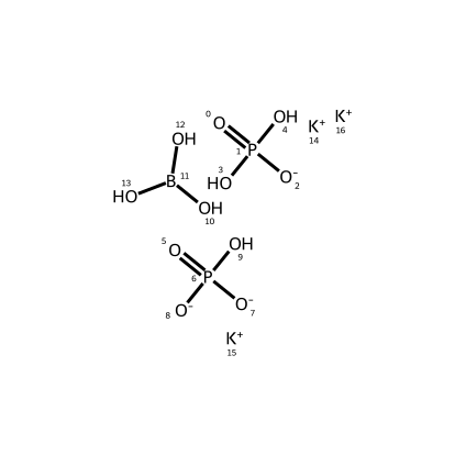 O=P([O-])(O)O.O=P([O-])([O-])O.OB(O)O.[K+].[K+].[K+]